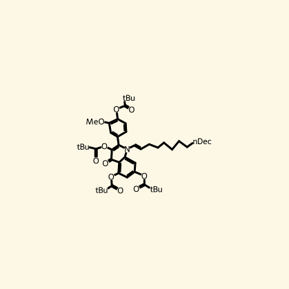 CCCCCCCCCCCCCCCCC=Cn1c(-c2ccc(OC(=O)C(C)(C)C)c(OC)c2)c(OC(=O)C(C)(C)C)c(=O)c2c(OC(=O)C(C)(C)C)cc(OC(=O)C(C)(C)C)cc21